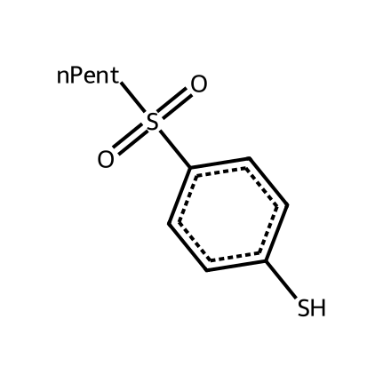 CCCCCS(=O)(=O)c1ccc(S)cc1